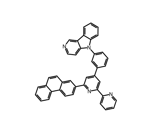 c1ccc(-c2cc(-c3cccc(-n4c5ccccc5c5cnccc54)c3)cc(-c3ccc4c(ccc5ccccc54)c3)n2)nc1